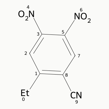 CCc1cc([N+](=O)[O-])c([N+](=O)[O-])cc1C#N